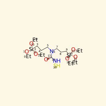 CCO[Si](CCCN(CCC[Si](OCC)(OCC)OCC)C(=O)NS)(OCC)OCC